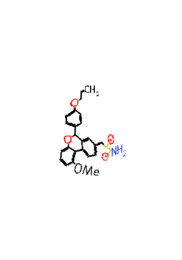 C=CCOc1ccc(C2Oc3cccc(OC)c3-c3ccc(CS(N)(=O)=O)cc32)cc1